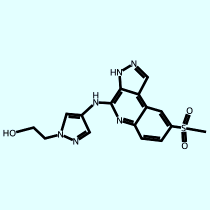 CS(=O)(=O)c1ccc2nc(Nc3cnn(CCO)c3)c3[nH]ncc3c2c1